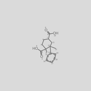 CC1(C(=O)O)CCC(C(=O)O)CC1(C)c1ccccc1